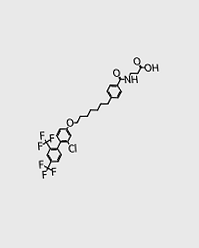 O=C(O)CCNC(=O)c1ccc(CCCCCCCOc2ccc(-c3ccc(C(F)(F)F)cc3C(F)(F)F)c(Cl)c2)cc1